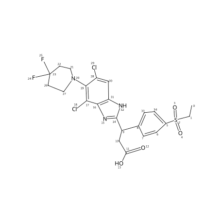 CCS(=O)(=O)c1ccc(C(CC(=O)O)c2nc3c(Cl)c(N4CCC(F)(F)CC4)c(Cl)cc3[nH]2)cc1